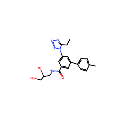 CCc1nnnn1-c1cc(C(=O)NCC(O)CO)cc(-c2ccc(C)cc2)c1